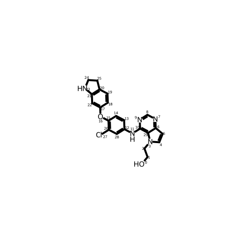 OCCn1ccc2ncnc(Nc3ccc(Oc4ccc5c(c4)NCC5)c(Cl)c3)c21